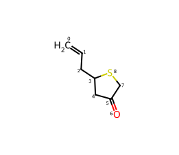 C=CCC1CC(=O)CS1